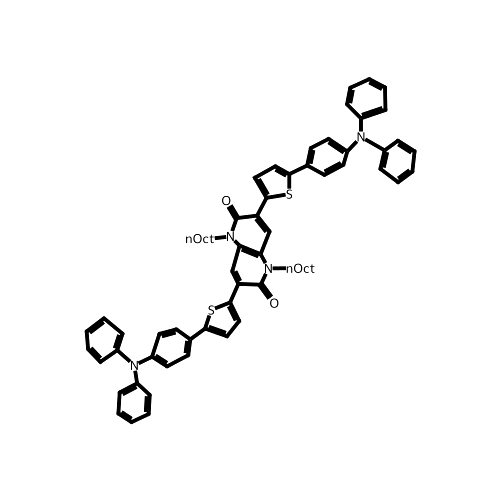 CCCCCCCCn1c(=O)c(-c2ccc(-c3ccc(N(c4ccccc4)c4ccccc4)cc3)s2)cc2c1cc(-c1ccc(-c3ccc(N(c4ccccc4)c4ccccc4)cc3)s1)c(=O)n2CCCCCCCC